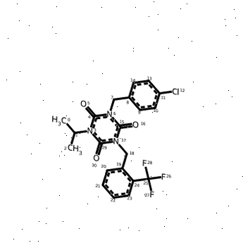 CC(C)n1c(=O)n(Cc2ccc(Cl)cc2)c(=O)n(Cc2ccccc2C(F)(F)F)c1=O